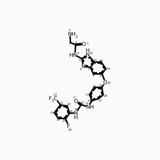 NCC(=O)Nc1nc2cc(Oc3ccc(NC(=O)Nc4cc(C(F)(F)F)ccc4F)cc3)ccc2[nH]1